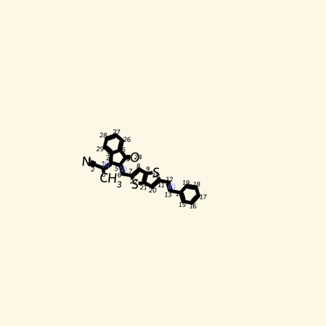 C/C(C#N)=C1\C(=C\c2cc3sc(/C=C/c4ccccc4)cc3s2)C(=O)c2ccccc21